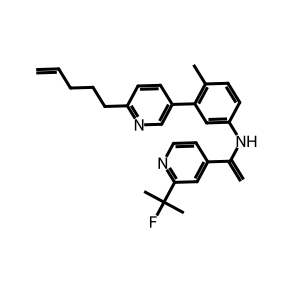 C=CCCCc1ccc(-c2cc(NC(=C)c3ccnc(C(C)(C)F)c3)ccc2C)cn1